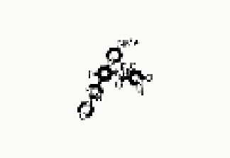 CNC1CCN(c2cc(F)c(-c3cnc(N4CCOCC4)nc3)cc2NC(=O)c2c[nH]c(=O)cc2C(F)(F)F)CC1